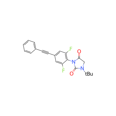 CC(C)(C)N1CC(=O)N(c2c(F)cc(C#Cc3ccccc3)cc2F)C1=O